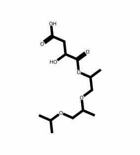 CC(C)OCC(C)OCC(C)OC(=O)C(O)CC(=O)O